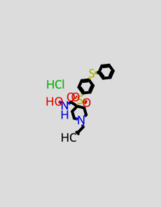 C#CCN1CCC(C(=O)NO)(S(=O)(=O)c2ccc(Sc3ccccc3)cc2)CC1.Cl